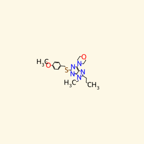 CCCc1nc2c(N3CCOCC3)nc(SCc3ccc(OC)cc3)nc2n1CC